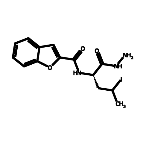 CC(I)C[C@H](NC(=O)c1cc2ccccc2o1)C(=O)NN